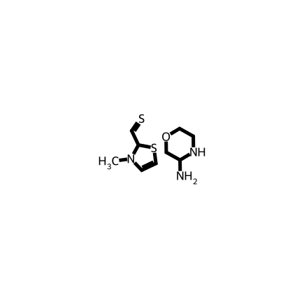 CN1C=CSC1C=S.NC1COCCN1